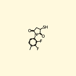 Cc1ccc(N2C(=O)CC(S)C2=O)c(F)c1F